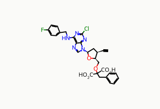 C#C[C@@H]1C[C@H](n2cnc3c(NCc4ccc(F)cc4)nc(Cl)nc32)O[C@@H]1COC(Cc1ccccc1)(C(=O)O)C(=O)O